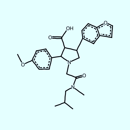 COc1ccc(C2C(C(=O)O)C(c3ccc4occc4c3)CN2CC(=O)N(C)CC(C)C)cc1